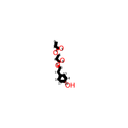 C=CC(=O)OCCC(=O)OCCc1ccc(O)cc1